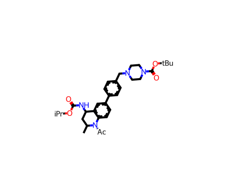 CC(=O)N1c2ccc(-c3ccc(CN4CCN(C(=O)OC(C)(C)C)CC4)cc3)cc2C(NC(=O)OC(C)C)CC1C